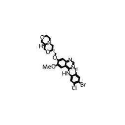 COc1cc2c(Nc3cc(Cl)c(Br)cc3F)ncnc2cc1OC[C@H]1CN2CCOC[C@H]2CO1